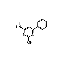 CNc1cc(-c2ccccc2)nc(O)n1